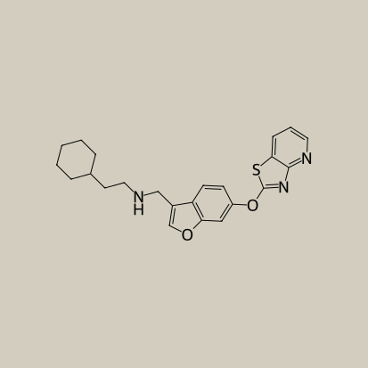 c1cnc2nc(Oc3ccc4c(CNCCC5CCCCC5)coc4c3)sc2c1